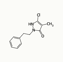 Cc1c(Cl)[nH]n(CCc2ccccc2)c1=O